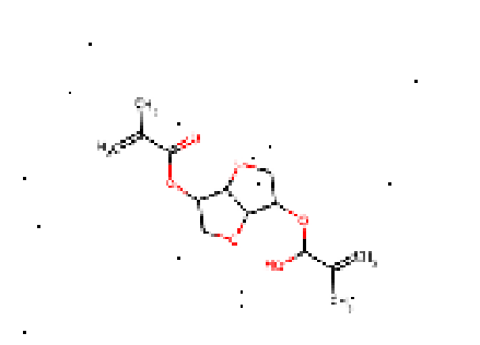 C=C(C)C(=O)OC1COC2C(OC(O)C(=C)C)COC12